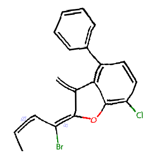 C=c1/c(=C(Br)\C=C/C)oc2c(Cl)ccc(-c3ccccc3)c12